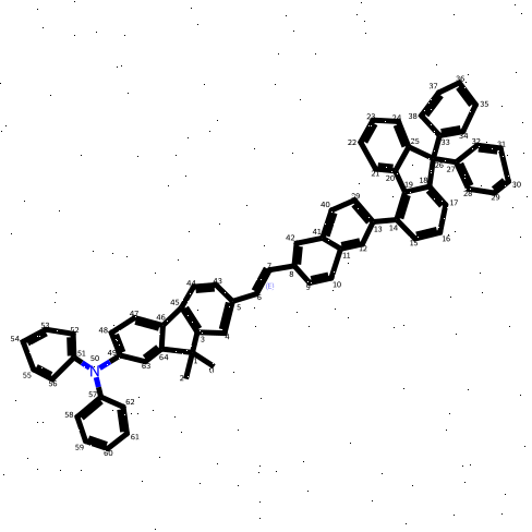 CC1(C)c2cc(/C=C/c3ccc4cc(-c5cccc6c5-c5ccccc5C6(c5ccccc5)c5ccccc5)ccc4c3)ccc2-c2ccc(N(c3ccccc3)c3ccccc3)cc21